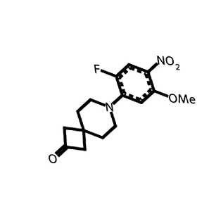 COc1cc(N2CCC3(CC2)CC(=O)C3)c(F)cc1[N+](=O)[O-]